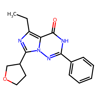 CCc1nc(C2CCOC2)n2nc(-c3ccccc3)[nH]c(=O)c12